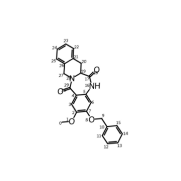 COc1cc2c(cc1OCc1ccccc1)NC(=O)C1Cc3ccccc3CN1C2=O